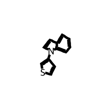 c1ccc2c(c1)ccn2-c1ccsc1